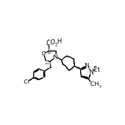 CCn1nc(C2CCC(N3C[C@H](C(=O)O)OC[C@@H]3Cc3ccc(Cl)cc3)CC2)cc1C